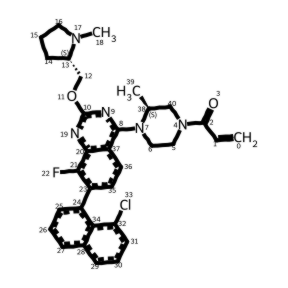 C=CC(=O)N1CCN(c2nc(OC[C@@H]3CCCN3C)nc3c(F)c(-c4cccc5cccc(Cl)c45)ccc23)[C@@H](C)C1